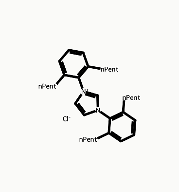 CCCCCc1cccc(CCCCC)c1-n1cc[n+](-c2c(CCCCC)cccc2CCCCC)c1.[Cl-]